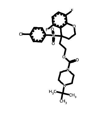 CC(C)(C)N1CCN(C(=O)OCCC2(S(=O)(=O)c3ccc(Cl)cc3)CCOc3c(F)ccc(F)c32)CC1